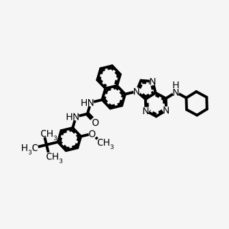 COc1ccc(C(C)(C)C)cc1NC(=O)Nc1ccc(-n2cnc3c(NC4CCCCC4)ncnc32)c2ccccc12